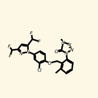 Cc1cccc(-n2nnn(C)c2=O)c1COc1ccc(-n2nc(C(F)F)cc2C(F)F)cc1Cl